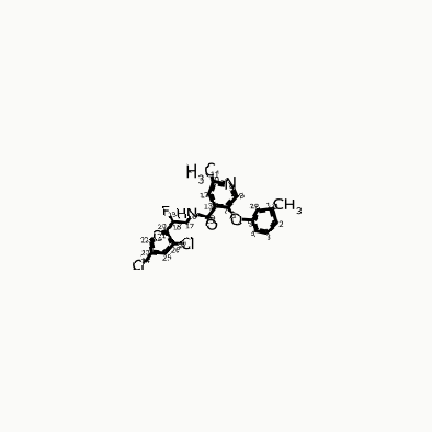 Cc1cccc(Oc2cnc(C)cc2C(=O)NCC(F)c2ccc(Cl)cc2Cl)c1